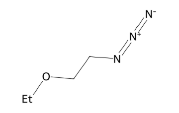 CCOCCN=[N+]=[N-]